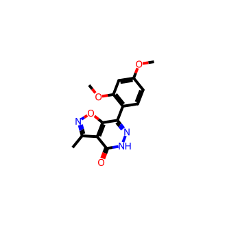 COc1ccc(-c2n[nH]c(=O)c3c(C)noc23)c(OC)c1